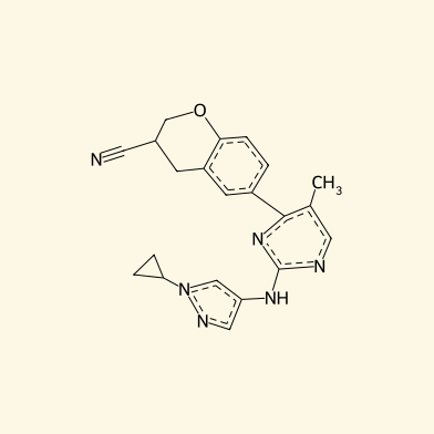 Cc1cnc(Nc2cnn(C3CC3)c2)nc1-c1ccc2c(c1)CC(C#N)CO2